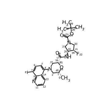 C[C@@H]1CN(c2ccc(I)c3ncccc23)C[C@H](C(=O)N[C@H]2CN(C(=O)OC(C)(C)C)C[C@H]2F)O1